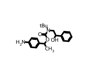 CC(OC(=O)N(CC(O)c1ccccc1)C(C)(C)C)c1ccc(N)cc1